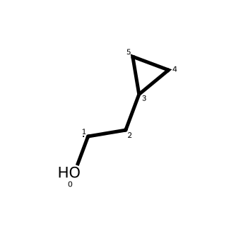 O[CH]CC1CC1